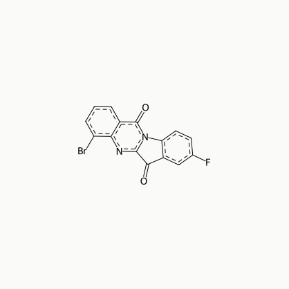 O=C1c2cc(F)ccc2-n2c1nc1c(Br)cccc1c2=O